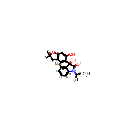 CCC(C(=O)O)N1C(=O)C(O)(c2cc3c(cc2O)OC(C)(C)C3)c2c(Br)cccc21